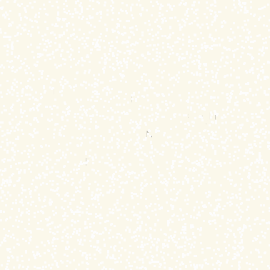 O=C(O)c1ccccc1N=Cc1c(F)cc(F)cc1F